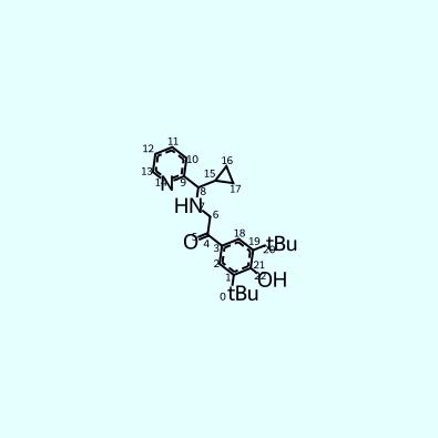 CC(C)(C)c1cc(C(=O)CNC(c2ccccn2)C2CC2)cc(C(C)(C)C)c1O